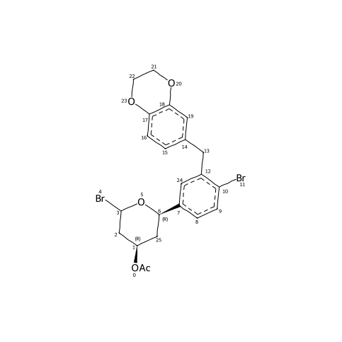 CC(=O)O[C@H]1CC(Br)O[C@@H](c2ccc(Br)c(Cc3ccc4c(c3)OCCO4)c2)C1